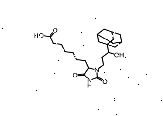 O=C(O)CCCCCCC1C(=O)NC(=O)N1CCC(O)C12CC3CC(CC(C3)C1)C2